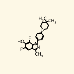 Cc1nn(-c2ccc(N3CCC(C)(C)CC3)cc2)c2c(F)c(O)c(F)cc12